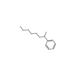 CCCCCC[C](C)c1ccccc1